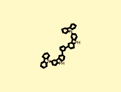 c1cc(-c2ccc3[pH]c4ccc(-n5c6ccccc6c6ccccc65)cc4c3c2)cc(-c2ccc3[pH]c4ccc(-n5c6ccccc6c6ccccc65)cc4c3c2)c1